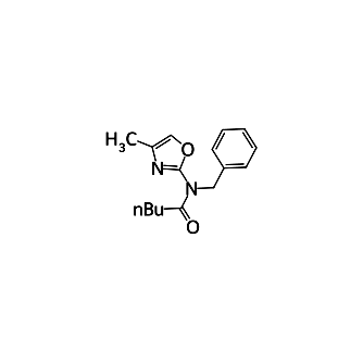 CCCCC(=O)N(Cc1ccccc1)c1nc(C)co1